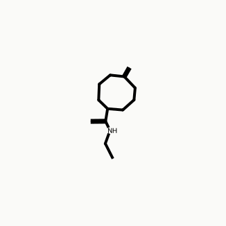 C=C1CCCC(C(=C)NCC)CCC1